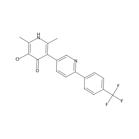 Cc1[nH]c(C)c(-c2ccc(-c3ccc(C(F)(F)F)cc3)nc2)c(=O)c1Cl